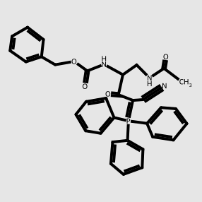 CC(=O)NCC(NC(=O)OCc1ccccc1)C(=O)C(C#N)=P(c1ccccc1)(c1ccccc1)c1ccccc1